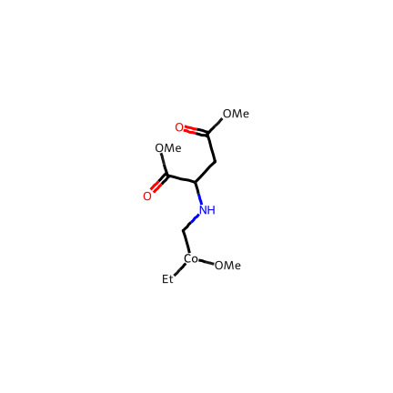 C[CH2][Co]([CH2]NC(CC(=O)OC)C(=O)OC)[O]C